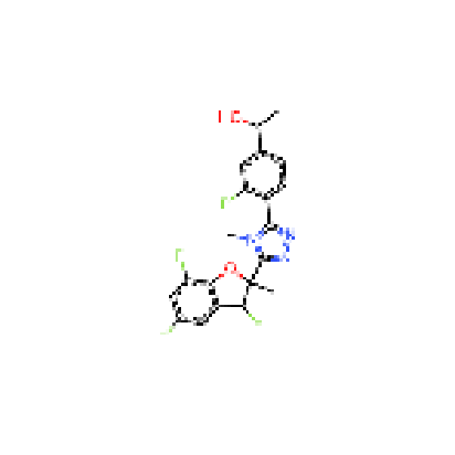 CC(O)c1ccc(-c2nnc(C3(C)Oc4c(F)cc(F)cc4C3F)n2C)c(F)c1